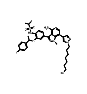 CC(Oc1cc(-c2nn(C)c3c(-c4cnn(CCCCCCCO)c4)cnc(N)c23)ccc1NS(=O)(=O)C(F)F)c1ccc(F)cc1